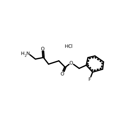 Cl.NCC(=O)CCC(=O)OCc1ccccc1F